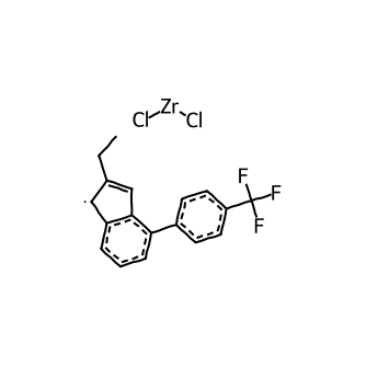 CCC1=Cc2c(cccc2-c2ccc(C(F)(F)F)cc2)[CH]1.[Cl][Zr][Cl]